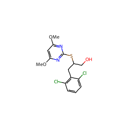 COc1cc(OC)nc(SC(CO)Cc2c(Cl)cccc2Cl)n1